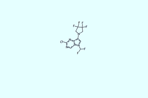 FC(F)n1cc(N2CC(F)(F)C(F)(F)C2)c2nc(Cl)ncc21